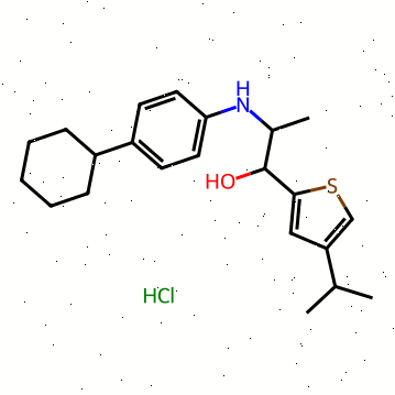 CC(C)c1csc(C(O)C(C)Nc2ccc(C3CCCCC3)cc2)c1.Cl